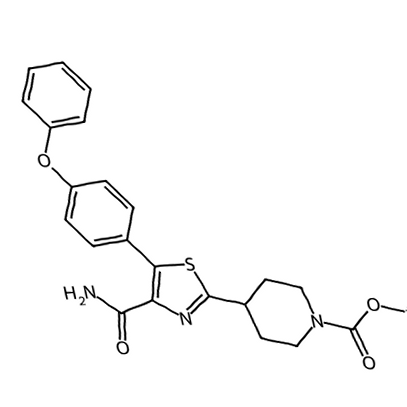 CC(C)(C)OC(=O)N1CCC(c2nc(C(N)=O)c(-c3ccc(Oc4ccccc4)cc3)s2)CC1